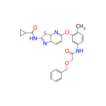 Cc1ccc(NC(=O)COCc2ccccc2)cc1OC1=NC2SC(NC(=O)C3CC3)=NC2C=C1